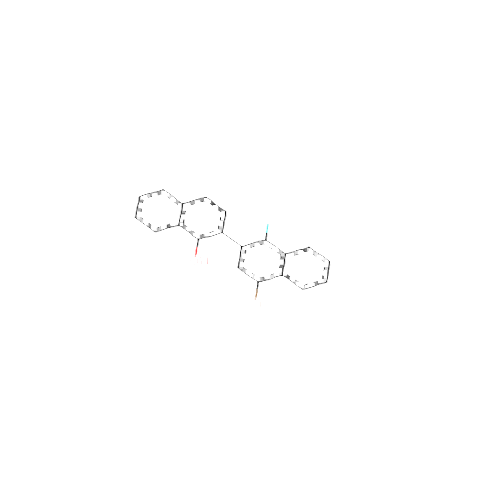 Oc1c(-c2cc(Br)c3ccccc3c2F)ccc2ccccc12